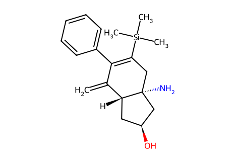 C=C1C(c2ccccc2)=C([Si](C)(C)C)C[C@@]2(N)C[C@@H](O)C[C@H]12